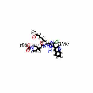 CCC(=O)CCCCC[C@H](NC(=O)[C@H]1CC12CCN(C(=O)OC(C)(C)C)CC2)c1nc(Cl)c(-c2cc3ccccc3nc2OC)[nH]1